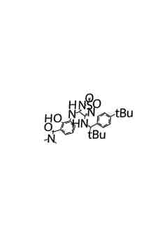 CN(C)C(=O)c1cccc(NC2=NS(=O)(=O)N=C2NC(c2ccc(C(C)(C)C)cc2)C(C)(C)C)c1O